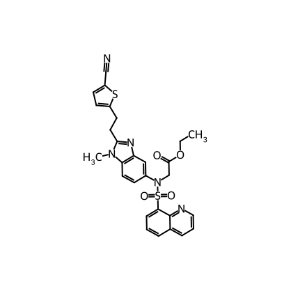 CCOC(=O)CN(c1ccc2c(c1)nc(CCc1ccc(C#N)s1)n2C)S(=O)(=O)c1cccc2cccnc12